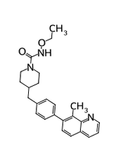 CCONC(=O)N1CCC(Cc2ccc(-c3ccc4cccnc4c3C)cc2)CC1